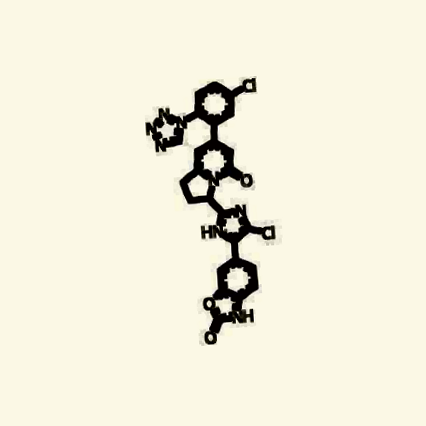 O=c1[nH]c2ccc(-c3[nH]c(C4CCc5cc(-c6cc(Cl)ccc6-n6cnnn6)cc(=O)n54)nc3Cl)cc2o1